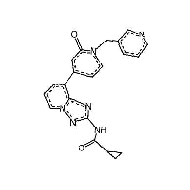 O=C(Nc1nc2c(-c3ccn(Cc4cccnc4)c(=O)c3)cccn2n1)C1CC1